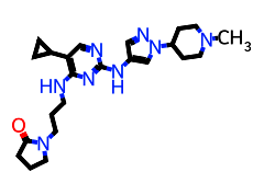 CN1CCC(n2cc(Nc3ncc(C4CC4)c(NCCCN4CCCC4=O)n3)cn2)CC1